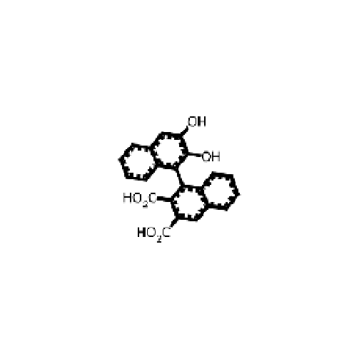 O=C(O)c1cc2ccccc2c(-c2c(O)c(O)cc3ccccc23)c1C(=O)O